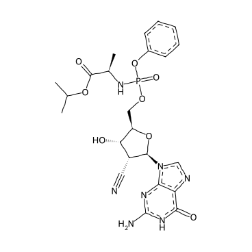 CC(C)OC(=O)[C@@H](C)NP(=O)(OC[C@H]1O[C@@H](n2cnc3c(=O)[nH]c(N)nc32)[C@H](C#N)[C@@H]1O)Oc1ccccc1